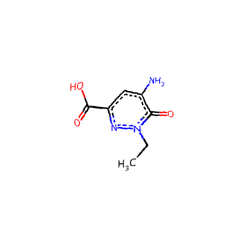 CCn1nc(C(=O)O)cc(N)c1=O